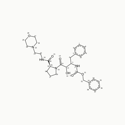 O=C(NC(Cc1ccccc1)C(O)C(=O)N1CCC[C@H]1C(=O)NCCN1CCOCC1)OCc1ccccc1